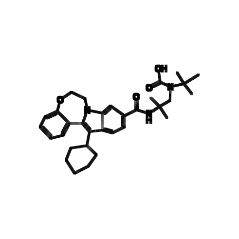 CC(C)(CN(C(=O)O)C(C)(C)C)NC(=O)c1ccc2c(C3CCCCC3)c3n(c2c1)CCOc1ccccc1-3